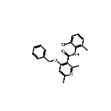 Cc1cc(OCc2ccccc2)c(C(=O)Nc2c(C)cccc2Cl)c(C)n1